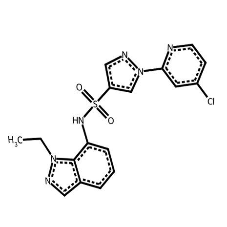 CCn1ncc2cccc(NS(=O)(=O)c3cnn(-c4cc(Cl)ccn4)c3)c21